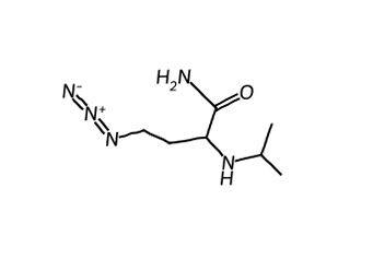 CC(C)NC(CCN=[N+]=[N-])C(N)=O